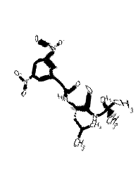 CC(C)C[C@H](NC(=O)c1cc([N+](=O)[O-])cc([N+](=O)[O-])c1)C(=O)NC(C)(C)C